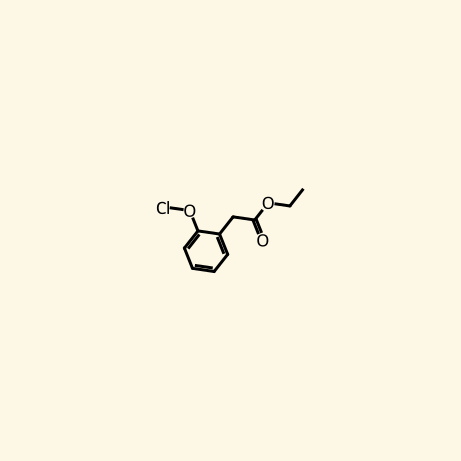 CCOC(=O)Cc1ccccc1OCl